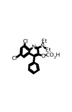 CCN(CC)c1nc2c(Cl)cc(Cl)cc2c(-c2ccccc2)c1OC(=O)O